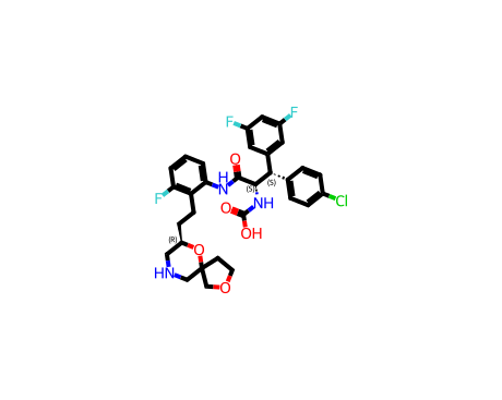 O=C(O)N[C@H](C(=O)Nc1cccc(F)c1CC[C@@H]1CNCC2(CCOC2)O1)[C@@H](c1ccc(Cl)cc1)c1cc(F)cc(F)c1